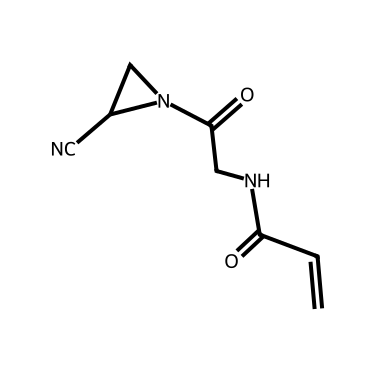 C=CC(=O)NCC(=O)N1CC1C#N